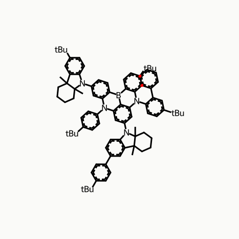 CC(C)(C)c1ccc(-c2ccc3c(c2)C2(C)CCCCC2(C)N3c2cc3c4c(c2)N(c2ccc(C(C)(C)C)cc2-c2ccccc2)c2cc(C(C)(C)C)ccc2B4c2ccc(N4c5ccc(C(C)(C)C)cc5C5(C)CCCCC45C)cc2N3c2ccc(C(C)(C)C)cc2)cc1